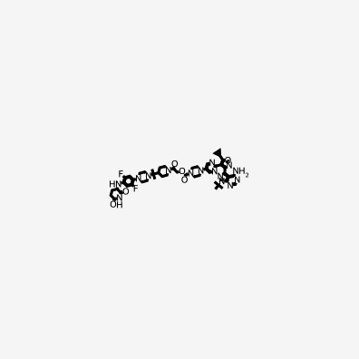 CC(C)(C1CCN(C(=O)COC(=O)N2CCN(c3cnc(-c4c(-c5nn(C(C)(C)C)c6ncnc(N)c56)noc4C4CC4)nc3)CC2)CC1)N1CCN(c2cc(F)c(NC3CCC(=O)NC3=O)cc2F)CC1